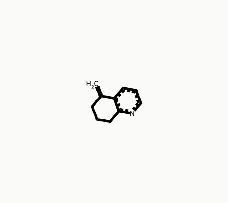 C=C1CCCc2ncccc21